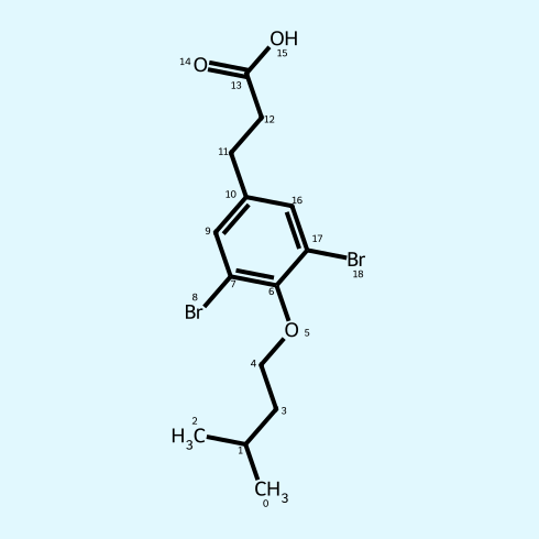 CC(C)CCOc1c(Br)cc(CCC(=O)O)cc1Br